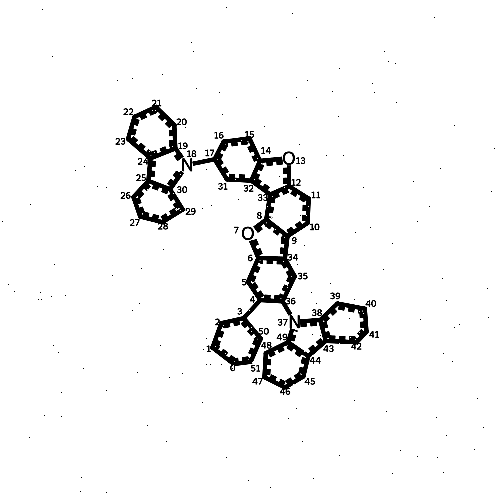 c1ccc(-c2cc3oc4c(ccc5oc6ccc(-n7c8ccccc8c8ccccc87)cc6c54)c3cc2-n2c3ccccc3c3ccccc32)cc1